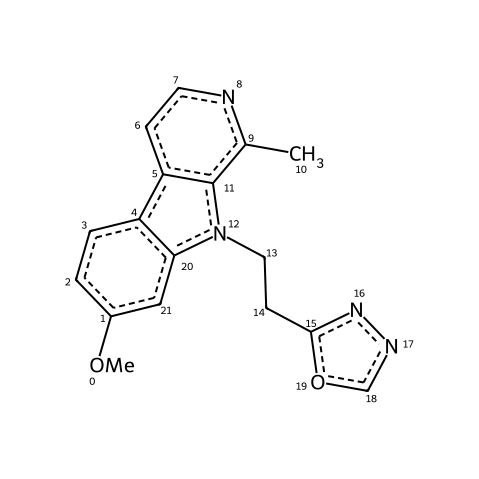 COc1ccc2c3ccnc(C)c3n(CCc3nnco3)c2c1